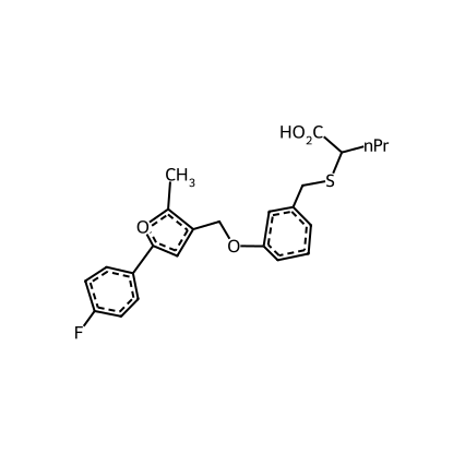 CCCC(SCc1cccc(OCc2cc(-c3ccc(F)cc3)oc2C)c1)C(=O)O